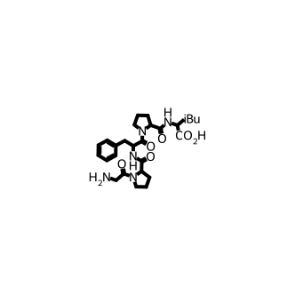 CCC(C)C(NC(=O)C1CCCN1C(=O)C(Cc1ccccc1)NC(=O)C1CCCN1C(=O)CN)C(=O)O